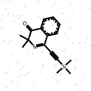 CC1(C)N=C(C#C[Si](C)(C)C)c2ccccc2C1=O